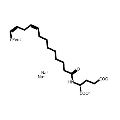 CCCCC/C=C\C/C=C\CCCCCCCC(=O)N[C@@H](CCC(=O)[O-])C(=O)[O-].[Na+].[Na+]